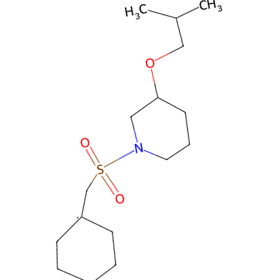 CC(C)COC1CCCN(S(=O)(=O)C[C]2CCCCC2)C1